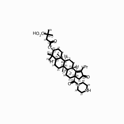 CC(C)C1=C2[C@H]3CC[C@@H]4[C@@]5(C)CC[C@H](OC(=O)CC(C)(C)C(=O)O)C(C)(C)[C@@H]5CC[C@@]4(C)[C@]3(C)CC[C@@]2(C(=O)N2CCNCC2)CC1=O